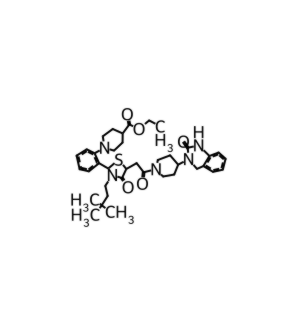 CCOC(=O)C1CCN(c2ccccc2C2SC(CC(=O)N3CCC(N4Cc5ccccc5NC4=O)CC3)C(=O)N2CCC(C)(C)C)CC1